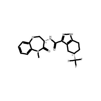 CN1C(=O)[C@@H](NC(=O)c2n[nH]c3c2C[C@@H](C(F)(F)F)CC3)COc2ccccc21